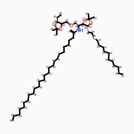 C=C(CCCCCCCCCCCCCCCCCCCCCCCCC)N[C@@H](COCC1OC(C)(C)O[C@H]1CC)[C@@H]1OC(C)(C)O[C@@H]1CCCCCCCCCCCCCC